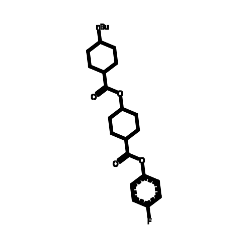 CCCCC1CCC(C(=O)OC2CCC(C(=O)Oc3ccc(F)cc3)CC2)CC1